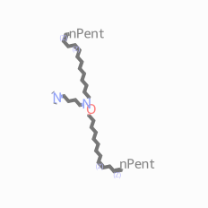 CCCCC/C=C\C/C=C\CCCCCCCCON(CCCCCCCC/C=C\C/C=C\CCCCC)CCCCN(C)C